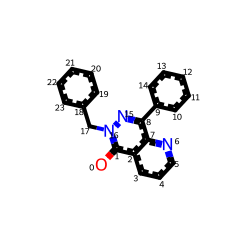 O=c1c2cccnc2c(-c2ccccc2)nn1Cc1ccccc1